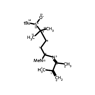 C=C(C)C(C)=NC(CCC(C)(C)[S+]([O-])C(C)(C)C)NC